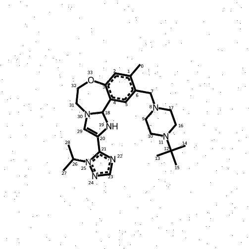 Cc1cc2c(cc1CN1CCN(C(C)(C)C)CC1)C1NC(c3ncnn3C(C)C)=CN1CCO2